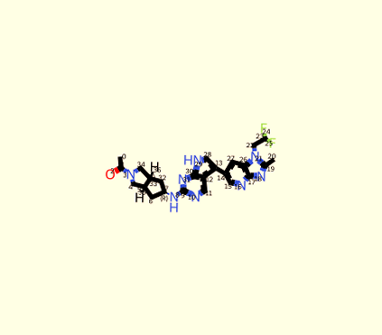 CC(=O)N1C[C@H]2C[C@@H](Nc3ncc4c(-c5cnc6nc(C)n(CC(F)F)c6c5)c[nH]c4n3)C[C@H]2C1